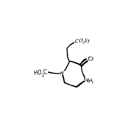 CCOC(=O)CC1C(=O)NCCN1C(=O)O